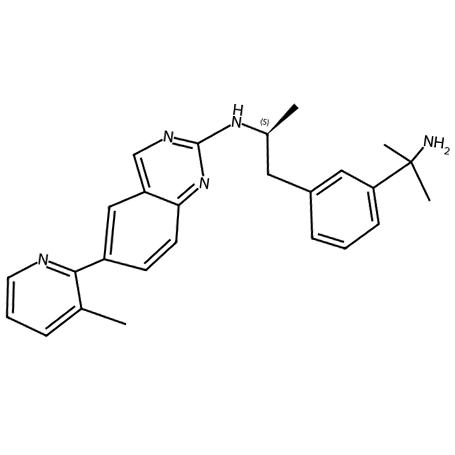 Cc1cccnc1-c1ccc2nc(N[C@@H](C)Cc3cccc(C(C)(C)N)c3)ncc2c1